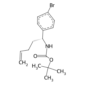 C=CCC[C@@H](NC(=O)OC(C)(C)C)c1ccc(Br)cc1